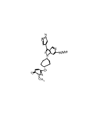 CNc1cc2c(cn1)c(-c1cn[nH]c1)nn2[C@H]1CC[C@@H](Oc2ccc(=O)n(C)n2)CC1